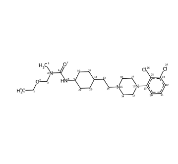 CCOCN(C)C(=O)NC1CCC(CCN2CCN(c3cccc(Cl)c3Cl)CC2)CC1